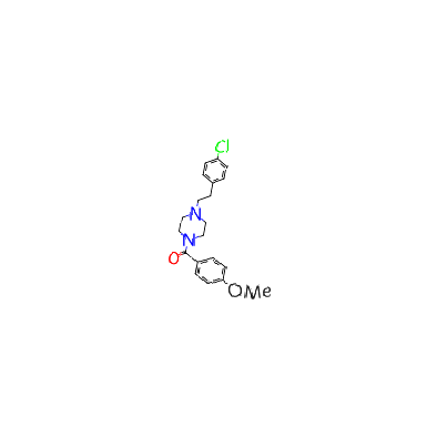 COc1ccc(C(=O)N2CCN(CCc3ccc(Cl)cc3)CC2)cc1